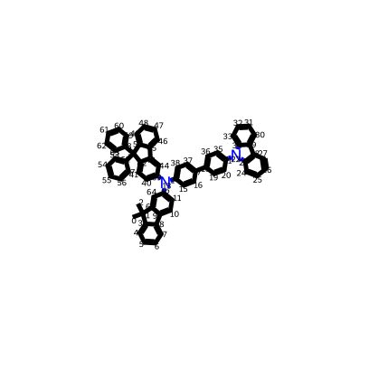 CC1(C)c2ccccc2-c2ccc(N(c3ccc(-c4ccc(-n5c6ccc#cc6c6ccccc65)cc4)cc3)c3ccc4c(c3)-c3ccccc3C4(c3ccccc3)c3ccccc3)cc21